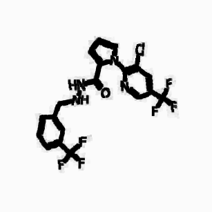 O=C(NNCc1cccc(C(F)(F)F)c1)c1cccn1-c1ncc(C(F)(F)F)cc1Cl